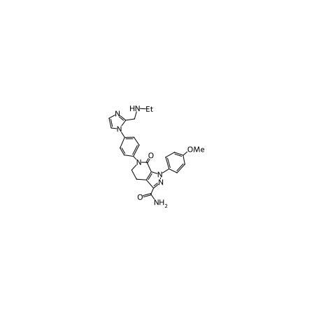 CCNCc1nccn1-c1ccc(N2CCc3c(C(N)=O)nn(-c4ccc(OC)cc4)c3C2=O)cc1